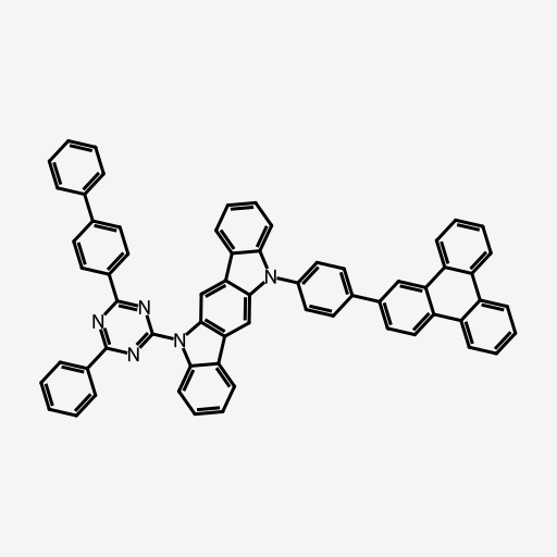 c1ccc(-c2ccc(-c3nc(-c4ccccc4)nc(-n4c5ccccc5c5cc6c(cc54)c4ccccc4n6-c4ccc(-c5ccc6c7ccccc7c7ccccc7c6c5)cc4)n3)cc2)cc1